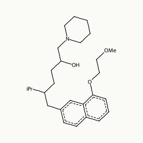 COCCOc1cccc2ccc(CC(CCC(O)CN3CCCCC3)C(C)C)cc12